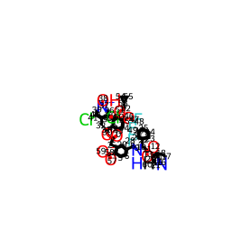 O=C(Cc1cccc(CNC(C(=O)O[C@H]2CN3CCC2CC3)c2ccccc2F)c1)O[C@@H](Cc1c(Cl)c[n+](O)cc1Cl)c1ccc(OC(F)F)c(OCC2CC2)c1.O=C[O-]